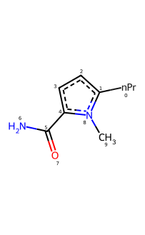 CCCc1ccc(C(N)=O)n1C